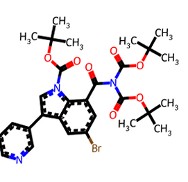 CC(C)(C)OC(=O)N(C(=O)OC(C)(C)C)C(=O)c1cc(Br)cc2c(-c3cccnc3)cn(C(=O)OC(C)(C)C)c12